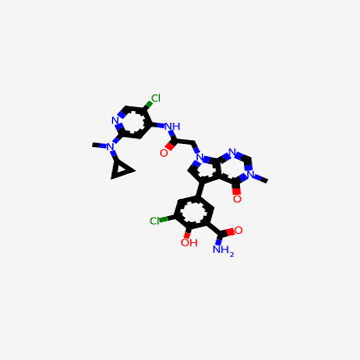 CN(c1cc(NC(=O)Cn2cc(-c3cc(Cl)c(O)c(C(N)=O)c3)c3c(=O)n(C)cnc32)c(Cl)cn1)C1CC1